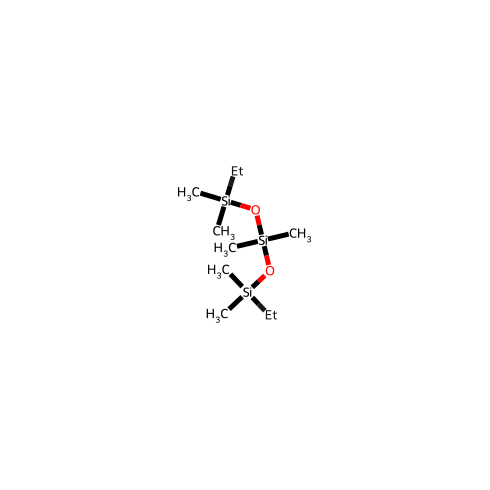 CC[Si](C)(C)O[Si](C)(C)O[Si](C)(C)CC